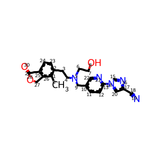 Cc1c(CCN(CCO)Cc2ccc(-n3cnc(C#N)c3)nc2)ccc2c1COC2=O